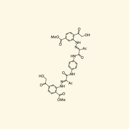 COC(=O)c1ccc(C(=O)CO)c(N/N=C(\C(C)=O)C(=O)Nc2ccc(NC(=O)/C(=N/Nc3cc(C(=O)CO)ccc3C(=O)OC)C(C)=O)cc2)c1